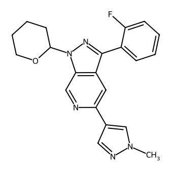 Cn1cc(-c2cc3c(-c4ccccc4F)nn(C4CCCCO4)c3cn2)cn1